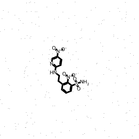 NS(=O)(=O)c1cccc(CCNc2ccc([N+](=O)[O-])cn2)c1[N+](=O)[O-]